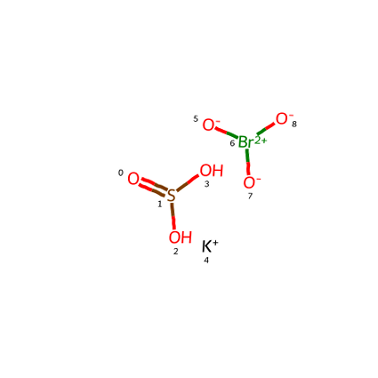 O=S(O)O.[K+].[O-][Br+2]([O-])[O-]